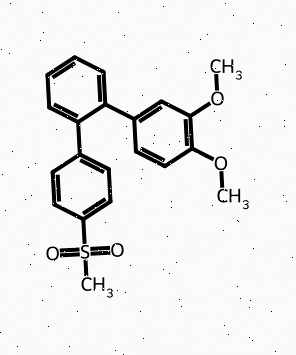 COc1ccc(-c2ccccc2-c2ccc(S(C)(=O)=O)cc2)cc1OC